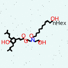 CCCCCC[C@H](O)C/C=C\CCCCCCCC(=O)N(CCO)CCOC(=O)/C=C/c1cc(CC=C(C)C)c(O)c(CC=C(C)C)c1